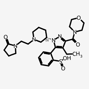 CCc1c(C(=O)N2CCOCC2)nn([C@H]2CCCN(CCN3CCCC3=O)C2)c1-c1ccccc1S(=O)O